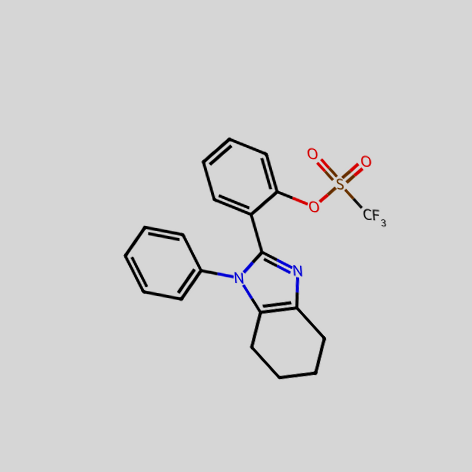 O=S(=O)(Oc1ccccc1-c1nc2c(n1-c1ccccc1)CCCC2)C(F)(F)F